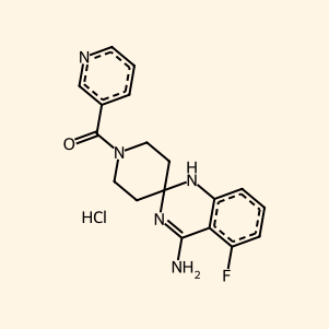 Cl.NC1=NC2(CCN(C(=O)c3cccnc3)CC2)Nc2cccc(F)c21